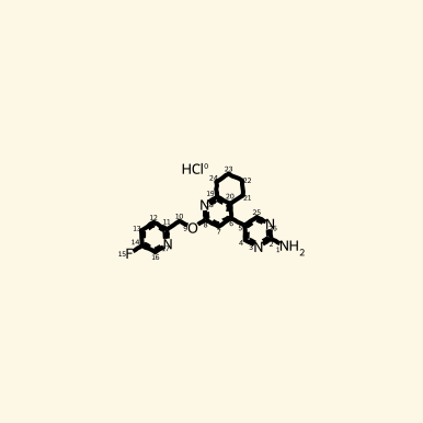 Cl.Nc1ncc(-c2cc(OCc3ccc(F)cn3)nc3c2CCCC3)cn1